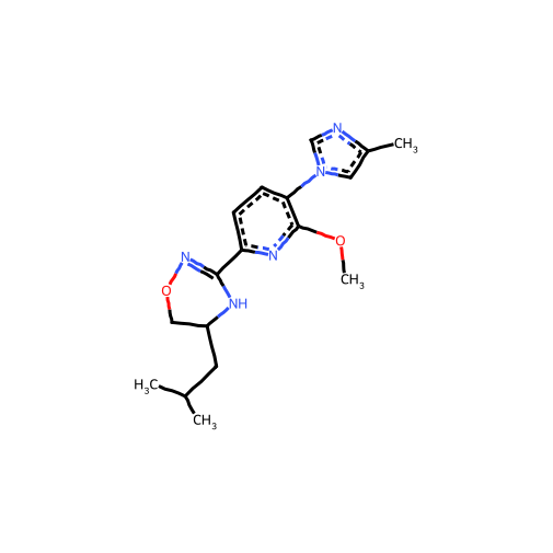 COc1nc(C2=NOCC(CC(C)C)N2)ccc1-n1cnc(C)c1